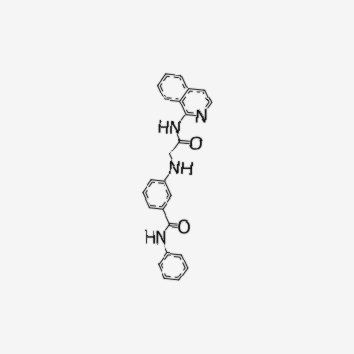 O=C(CNc1cccc(C(=O)Nc2ccccc2)c1)Nc1nccc2ccccc12